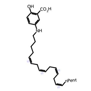 CCCCC/C=C\C/C=C\C/C=C\C/C=C\CCCCNc1ccc(O)c(C(=O)O)c1